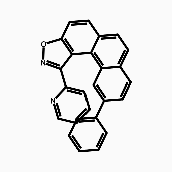 c1ccc(-c2ccc3ccc4ccc5onc(-c6ccccn6)c5c4c3c2)cc1